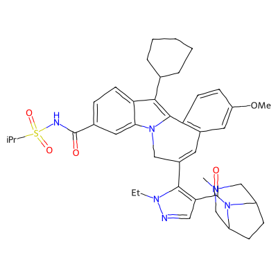 CCn1ncc(C(=O)N2C3CCC2CN(C)C3)c1C1=Cc2cc(OC)ccc2-c2c(C3CCCCC3)c3ccc(C(=O)NS(=O)(=O)C(C)C)cc3n2C1